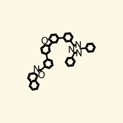 c1ccc(-c2nc(-c3ccccc3)nc(-c3cccc(-c4ccc5oc6ccc(-c7cccc(-c8nc9ccc%10ccccc%10c9o8)c7)cc6c5c4)c3)n2)cc1